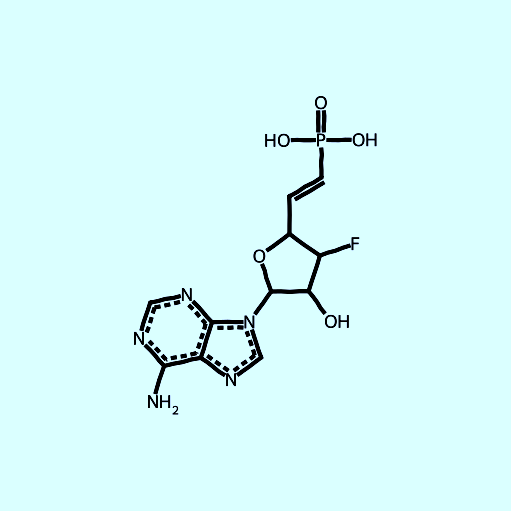 Nc1ncnc2c1ncn2C1OC(/C=C/P(=O)(O)O)C(F)C1O